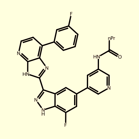 CCCC(=O)Nc1cncc(-c2cc(F)c3[nH]nc(-c4nc5c(-c6cccc(F)c6)ccnc5[nH]4)c3c2)c1